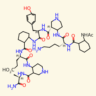 CC(=O)NC1CCCCC1C(=O)N[C@H](CCCCN)C(=O)NC1CCNC[C@H]1C(=O)N[C@H](Cc1ccc(O)cc1)C(=O)NC1CCCCC1C(=O)N[C@H](CCC(=O)O)C(=O)NC1CCNCC1C(=O)N[C@H](C)C(N)=O